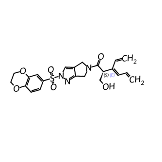 C=C/C=C(\C=C)[C@@H](CO)C(=O)N1Cc2cn(S(=O)(=O)c3ccc4c(c3)OCCO4)nc2C1